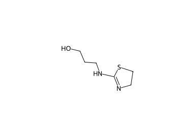 OCCCNC1=NCCS1